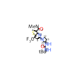 CNC(=O)c1csc2c(C(F)(F)F)cc(N3CCC(NC(=O)NC(C)(C)C)C3)nc12